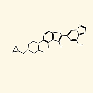 COc1cc(-c2[nH]c3cnc(N4CCN(CC5CC5)CC4C)c(F)c3c2C(C)C)cn2ncnc12